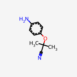 CC(C)(C#N)Oc1ccc(N)cc1